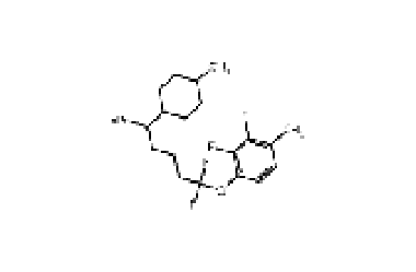 CCCC(CCCC(F)(F)Oc1ccc(C)c(F)c1F)C1CCC(C)CC1